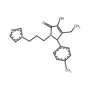 CCC1=C(O)C(=O)N(CCCn2ccnc2)C1c1ccc(C)cc1